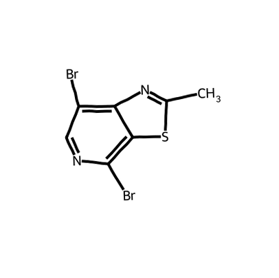 Cc1nc2c(Br)cnc(Br)c2s1